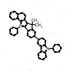 CC1(C)c2cc(-c3ccc4c(c3)c3ccccc3n4-c3ccccc3)ccc2-c2c1c1ccc3ccccc3c1n2-c1ccccc1